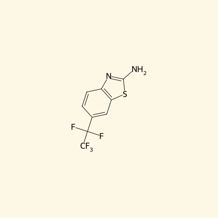 Nc1nc2ccc(C(F)(F)C(F)(F)F)cc2s1